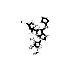 CC1=CC(C)(c2nc(NC3CCCC3)c3ncn(C4O[C@H](CO)[C@@H](O)[C@H]4O)c3n2)N=N1